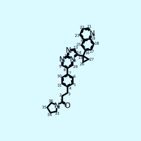 O=C(CCc1ccc(-c2cnc3ncc(C4(c5ccc6ncccc6c5)CC4)n3c2)cc1)N1CCCC1